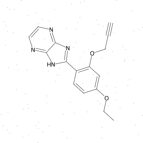 C#CCOc1cc(OCC)ccc1-c1nc2nccnc2[nH]1